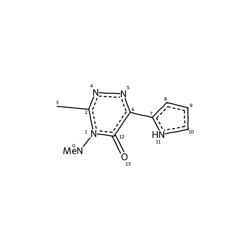 CNn1c(C)nnc(-c2ccc[nH]2)c1=O